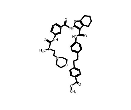 COC(=O)c1ccc(CCc2ccc(NC(=O)c3c(NC(=O)c4cccc(NC(=O)N(C)CCN5CCOCC5)c4)sc4c3CCCC4)cc2)cc1